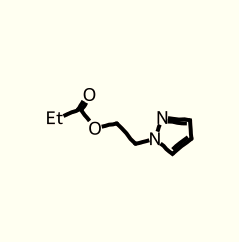 CCC(=O)OCCn1cccn1